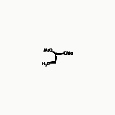 C=CP(OC)OC